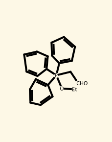 CCOP(CC=O)(c1ccccc1)(c1ccccc1)c1ccccc1